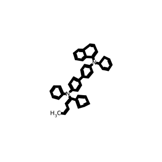 C/C=C\C=C(/c1ccccc1)N(c1ccccc1)c1ccc(-c2ccc(N(c3cccc4ccccc34)C3C=CC=CC3)cc2)cc1